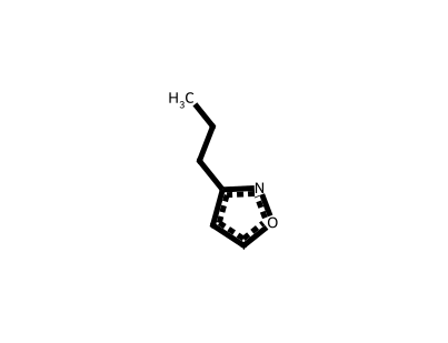 CCCc1c[c]on1